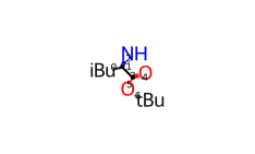 [CH2]C(CC)C(=N)C(=O)OC(C)(C)C